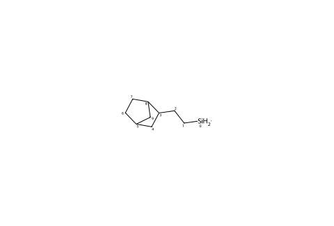 [SiH2]CCC1CC2CCC1C2